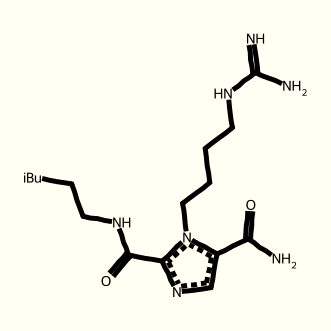 CCC(C)CCNC(=O)c1ncc(C(N)=O)n1CCCCNC(=N)N